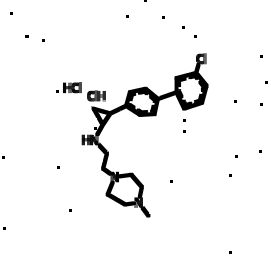 CN1CCN(CCNC2CC2c2ccc(-c3cccc(Cl)c3)cc2)CC1.Cl.Cl